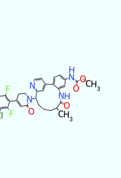 COC(=O)Nc1ccc2c(c1)NC(=O)[C@@H](C)CCC[C@@H](N1CCC(c3c(F)ccc(Cl)c3F)=CC1=O)c1cc-2ccn1